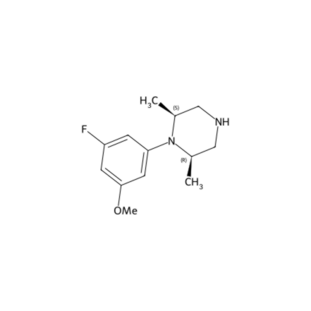 COc1cc(F)cc(N2[C@H](C)CNC[C@@H]2C)c1